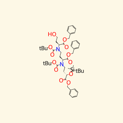 CC(C)(C)OC(=O)N(CC[C@H](O[Si](C)(C)C(C)(C)C)C(=O)OCc1ccccc1)[C@@H](CCN(C(=O)OC(C)(C)C)[C@@H](CCO)C(=O)OCc1ccccc1)C(=O)OCc1ccccc1